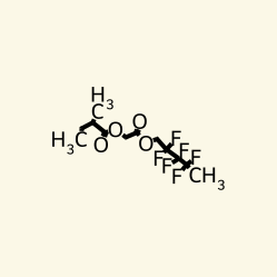 CCC(C)C(=O)OCC(=O)OCC(F)(F)C(F)(F)C(C)(F)F